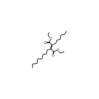 CCCCCCCCC(C(=O)OCC)=C(CCCCCC)C(=O)OCC